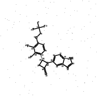 CC(F)(F)COc1ccc([C@H]2CC(=O)N2c2ccc3[nH]cnc3c2)c(F)c1F